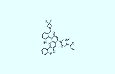 C=CC(=O)N1C[C@H](C)N(c2nc(=O)n(-c3c(CN4CC(F)(F)C4)cccc3C(C)C)c3nc(-c4ccccc4F)c(Cl)cc23)C[C@H]1C